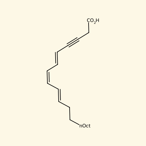 CCCCCCCCCC/C=C/C=C\C=C\C#CCC(=O)O